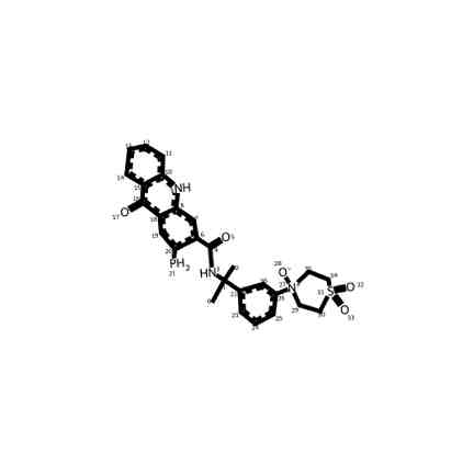 CC(C)(NC(=O)c1cc2[nH]c3ccccc3c(=O)c2cc1P)c1cccc([N+]2([O-])CCS(=O)(=O)CC2)c1